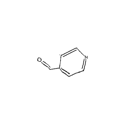 O=Cc1[c]cncc1